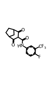 O=C(Nc1ccc(F)c(C(F)(F)F)c1)C1C(=O)C2CCC(C2)C1=O